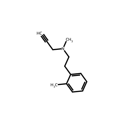 C#CCN(C)CCc1ccccc1C